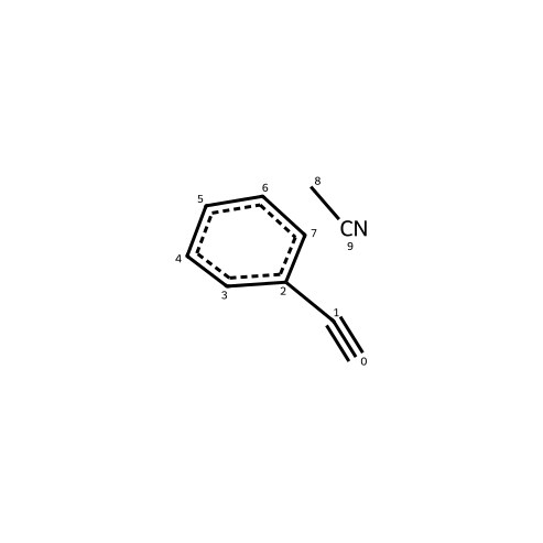 C#Cc1ccccc1.CC#N